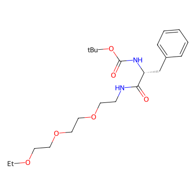 CCOCCOCCOCCNC(=O)[C@@H](Cc1ccccc1)NC(=O)OC(C)(C)C